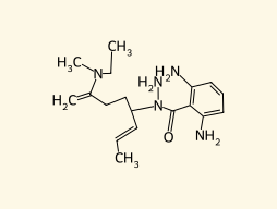 C=C(CCC(/C=C/C)N(N)C(=O)c1c(N)cccc1N)N(C)CC